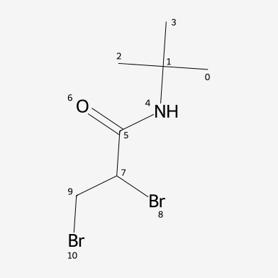 CC(C)(C)NC(=O)C(Br)CBr